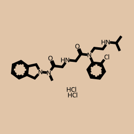 CC(C)NCCN(C(=O)CNCC(=O)N(C)N1Cc2ccccc2C1)c1ccccc1Cl.Cl.Cl